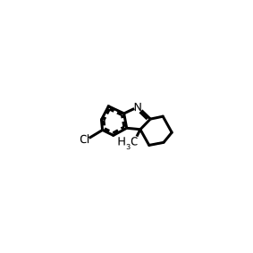 CC12CCCCC1=Nc1ccc(Cl)cc12